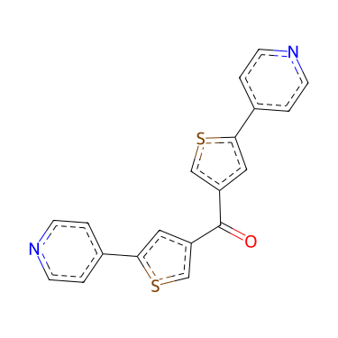 O=C(c1csc(-c2ccncc2)c1)c1csc(-c2ccncc2)c1